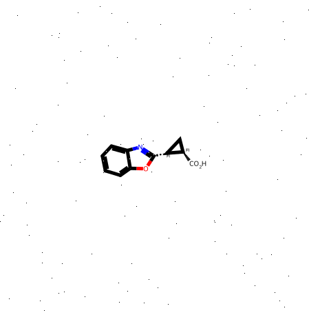 O=C(O)[C@@H]1C[C@H]1c1nc2ccccc2o1